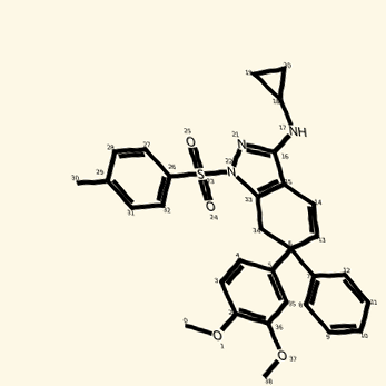 COc1ccc(C2(c3ccccc3)C=Cc3c(NC4CC4)nn(S(=O)(=O)c4ccc(C)cc4)c3C2)cc1OC